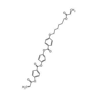 C=CC(=O)OCCCCCCOc1ccc(C(=O)Oc2ccc(OC(=O)c3ccc(OC(=O)C=C)cc3)cc2)cc1